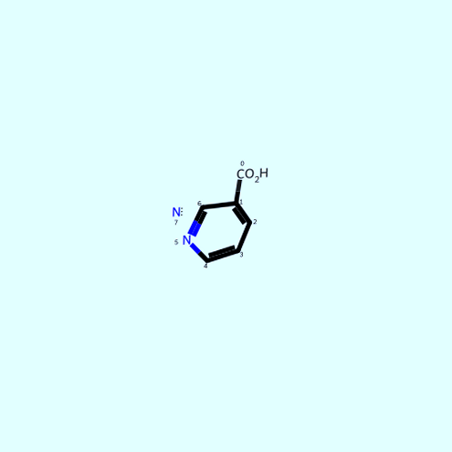 O=C(O)c1cccnc1.[N]